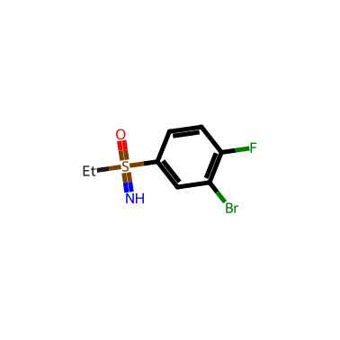 CCS(=N)(=O)c1ccc(F)c(Br)c1